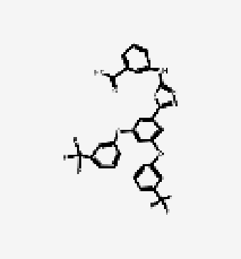 O=C(O)c1cccc(Nc2nnc(-c3cc(Oc4cccc(C(F)(F)F)c4)cc(Oc4cccc(C(F)(F)F)c4)c3)s2)c1